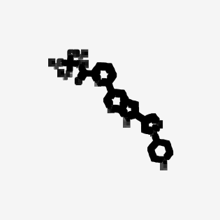 CC(C)(NC(=O)c1cccc(-c2cnc3[nH]c(-c4cnn(C5CCNCC5)c4)cc3c2)n1)C(=O)O